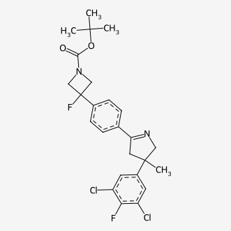 CC(C)(C)OC(=O)N1CC(F)(c2ccc(C3=NCC(C)(c4cc(Cl)c(F)c(Cl)c4)C3)cc2)C1